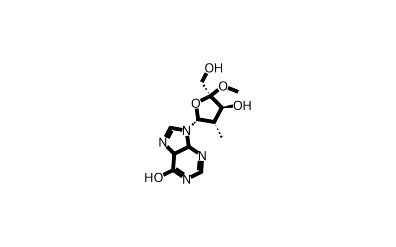 CO[C@]1(CO)O[C@@H](N2C=NC3C(O)=NC=NC32)[C@@H](C)[C@@H]1O